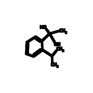 CC(C)c1ccccc1C(C)(O)O